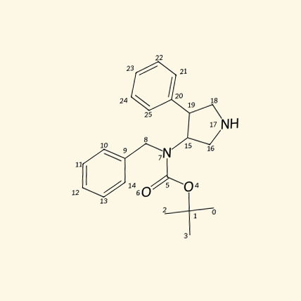 CC(C)(C)OC(=O)N(Cc1ccccc1)C1CNCC1c1ccccc1